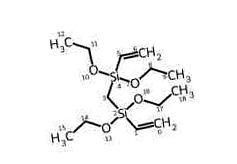 C=C[Si](C[Si](C=C)(OCC)OCC)(OCC)OCC